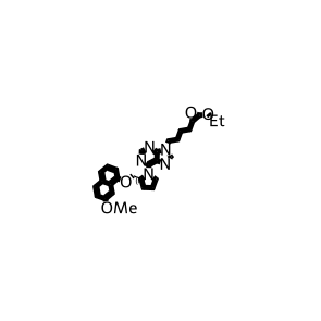 CCOC1OC1CCCCn1cnc2c(N3CCC[C@@H]3COc3cccc4ccc(OC)cc34)ncnc21